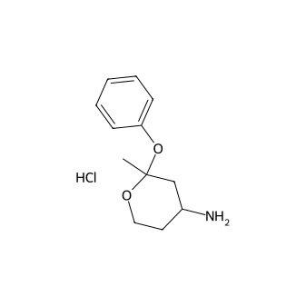 CC1(Oc2ccccc2)CC(N)CCO1.Cl